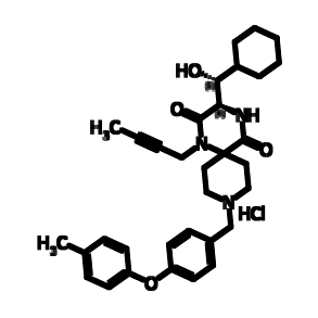 CC#CCN1C(=O)[C@@H]([C@H](O)C2CCCCC2)NC(=O)C12CCN(Cc1ccc(Oc3ccc(C)cc3)cc1)CC2.Cl